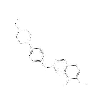 COC1=CCc2cnc(Nc3ccc(N4CCN(CC=O)CC4)cc3)nc2C1C(C)C